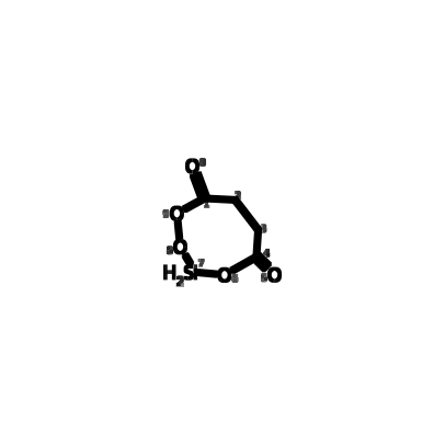 O=C1CCC(=O)O[SiH2]OO1